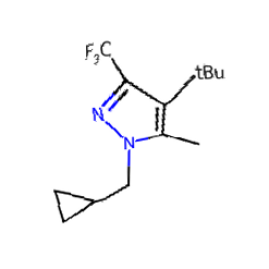 Cc1c(C(C)(C)C)c(C(F)(F)F)nn1CC1CC1